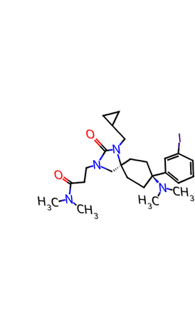 CN(C)C(=O)CCN1C[C@]2(CC[C@](c3cccc(I)c3)(N(C)C)CC2)N(CC2CC2)C1=O